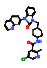 Cc1ncc(Cl)cc1C(=O)NC1CCC(Cn2c(=O)n(-c3ccc4cccnc4c3)c3ccccc32)CC1